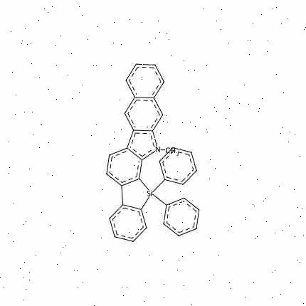 Cn1c2cc3ccccc3cc2c2ccc3c(c21)[Si](c1ccccc1)(c1ccccc1)c1ccccc1-3